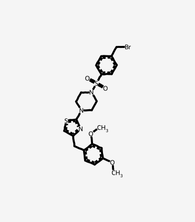 COc1ccc(Cc2csc(N3CCN(S(=O)(=O)c4ccc(CBr)cc4)CC3)n2)c(OC)c1